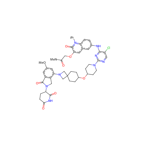 CNC(=O)COc1cc2cc(Nc3nc(N4CCC(OC5CCC6(CC5)CN(c5cc(OC)cc7c5CN(C5CCC(=O)NC5=O)C7=O)C6)CC4)ncc3Cl)ccc2n(C(C)C)c1=O